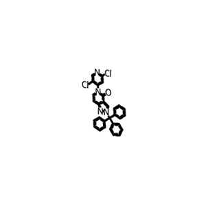 O=c1c2cn(C(c3ccccc3)(c3ccccc3)c3ccccc3)nc2ccn1-c1cc(Cl)ncc1Cl